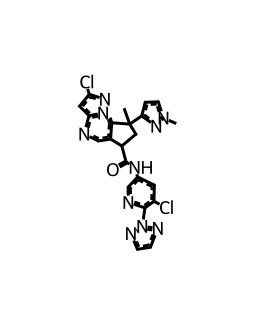 Cn1ccc(C2(C)CC(C(=O)Nc3cnc(-n4nccn4)c(Cl)c3)c3cnc4cc(Cl)nn4c32)n1